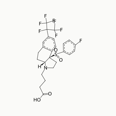 O=C(O)CCCN1CC[C@@]2(S(=O)(=O)c3ccc(F)cc3)c3ccc(C(F)(C(F)(F)F)C(F)(F)F)cc3CC[C@@H]12